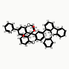 c1ccc(-n2c3ccccc3c3cccc(-c4ccc5c(c4)C4(c6ccccc6Oc6cc(-c7ccccn7)ccc64)c4ccccc4O5)c32)cc1